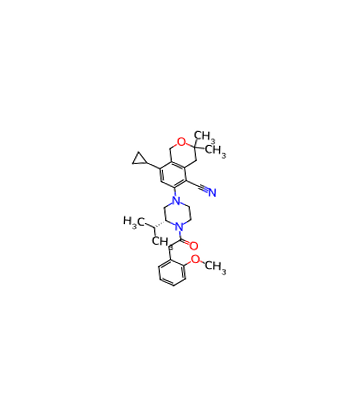 COc1ccccc1CC(=O)N1CCN(c2cc(C3CC3)c3c(c2C#N)CC(C)(C)OC3)C[C@H]1C(C)C